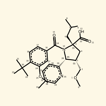 COC[C@H]1C[C@@](CC(C)C)(C(=O)O)N(C(=O)c2ccc(C(C)(C)C)c(OC)c2)[C@H]1c1ccc(C)cn1